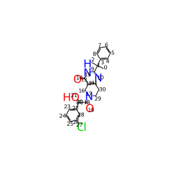 CC(C)(c1ccccc1)c1nc2c(c(=O)[nH]1)CN(C(=O)[C@H](O)c1cccc(Cl)c1)CC2